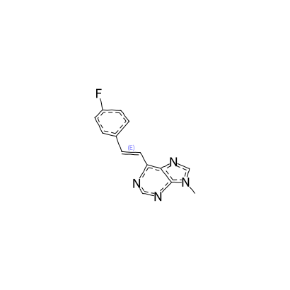 Cn1cnc2c(/C=C/c3ccc(F)cc3)ncnc21